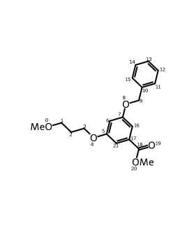 COCCCOc1cc(OCc2ccccc2)cc(C(=O)OC)c1